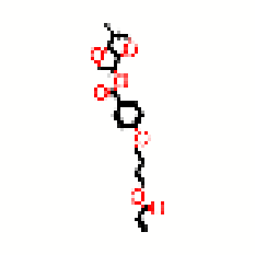 C=CC(=O)OCCCCOc1ccc(C(=O)O[C@@H]2COC3C2OC[C@@H]3C)cc1